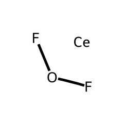 FOF.[Ce]